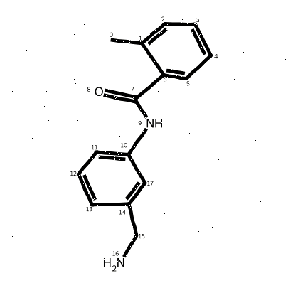 Cc1ccccc1C(=O)Nc1cccc(CN)c1